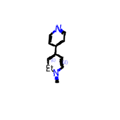 C=N/C=C\C(=C/CC)c1ccncc1